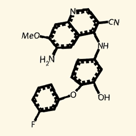 COc1cc2ncc(C#N)c(Nc3ccc(Oc4cccc(F)c4)c(O)c3)c2cc1N